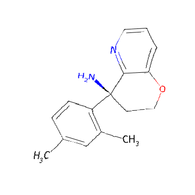 Cc1ccc([C@@]2(N)CCOc3cccnc32)c(C)c1